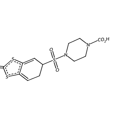 O=C(O)N1CCN(S(=O)(=O)C2C=c3sc(=O)sc3=CC2)CC1